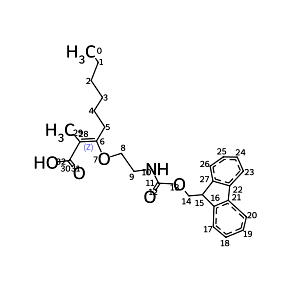 CCCCCC/C(OCCNC(=O)OCC1c2ccccc2-c2ccccc21)=C(\C)C(=O)O